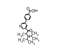 CC(C)N(C(C)C)C(C)C(=O)c1cncc(-c2ccc(C(=O)O)cc2)c1